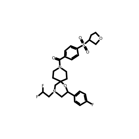 O=C(c1ccc(S(=O)(=O)C2CCOC2)cc1)N1CCC2(CC1)CN(CC(F)F)CC(c1ccc(F)cc1)O2